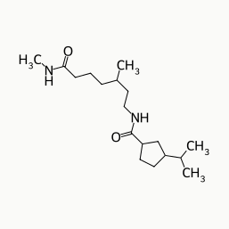 CNC(=O)CCCC(C)CCNC(=O)C1CCC(C(C)C)C1